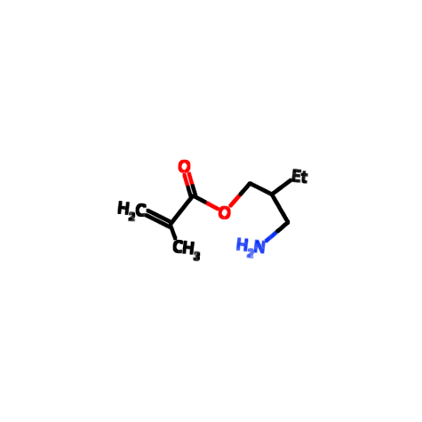 C=C(C)C(=O)OCC(CC)CN